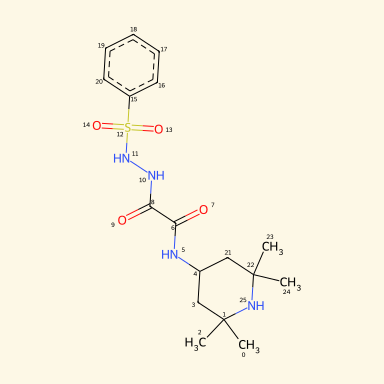 CC1(C)CC(NC(=O)C(=O)NNS(=O)(=O)c2ccccc2)CC(C)(C)N1